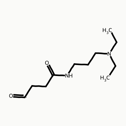 CCN(CC)CCCNC(=O)CC[C]=O